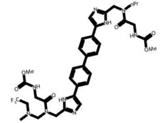 CCCN(Cc1ncc(-c2ccc(-c3ccc(-c4cnc(CN(CN(C)CC(F)(F)F)C(=O)CNC(=O)OC)[nH]4)cc3)cc2)[nH]1)C(=O)CNC(=O)OC